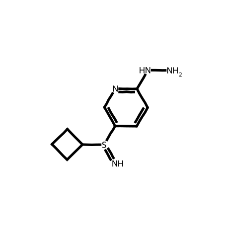 N=S(c1ccc(NN)nc1)C1CCC1